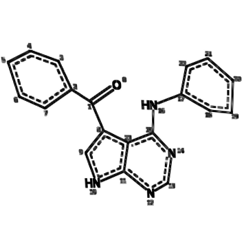 O=C(c1ccccc1)c1c[nH]c2ncnc(Nc3ccccc3)c12